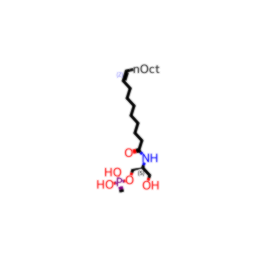 C=P(O)(O)OC[C@H](CO)NC(=O)CCCCCCC/C=C\CCCCCCCC